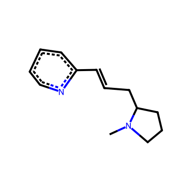 CN1CCCC1CC=Cc1ccccn1